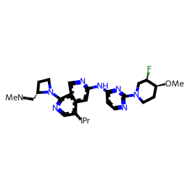 CNC[C@@H]1CCN1c1ncc(C(C)C)c2cc(Nc3ccnc(N4CC[C@H](OC)[C@H](F)C4)n3)ncc12